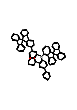 c1ccc(-c2ccc(N(c3cccc(-c4ccc5c(c4)C4(c6ccccc6-c6ccccc64)c4ccccc4-5)c3)c3cccc4c3-c3ccccc3C43c4ccccc4-c4ccccc43)c(-c3ccccc3)c2)cc1